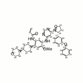 C=CC(=O)Nc1cc(Nc2cc(N3OCC[C@@H]3c3cccc(Oc4ccccc4)c3)ncn2)c(OC)cc1N1CCC(N2CCOCC2)CC1